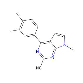 Cc1ccc(-c2nc(C#N)nc3c2ccn3C)cc1C